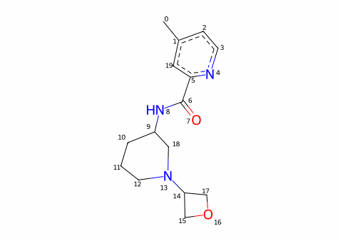 Cc1ccnc(C(=O)NC2CCCN(C3COC3)C2)c1